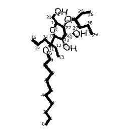 CCCCCCCCCCOC(CC)(CCC)C1OC(CO)[C@@H](OC(CC)CCC)[C@H](O)[C@H]1O